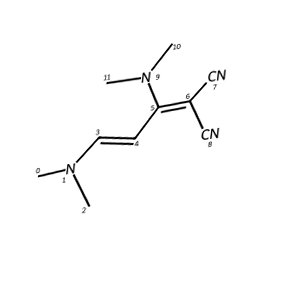 CN(C)/C=C/C(=C(C#N)C#N)N(C)C